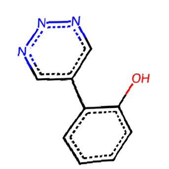 Oc1ccccc1-c1cnnnc1